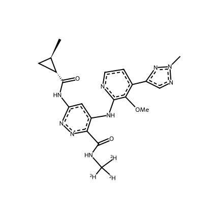 [2H]C([2H])([2H])NC(=O)c1nnc(NC(=O)[C@@H]2C[C@H]2C)cc1Nc1nccc(-c2cnn(C)n2)c1OC